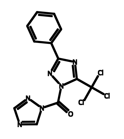 O=C(n1cncn1)n1nc(-c2ccccc2)nc1C(Cl)(Cl)Cl